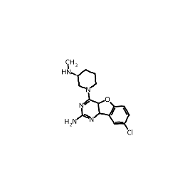 CN[C@H]1CCCN(C2=NC(N)=NC3c4cc(Cl)ccc4OC23)C1